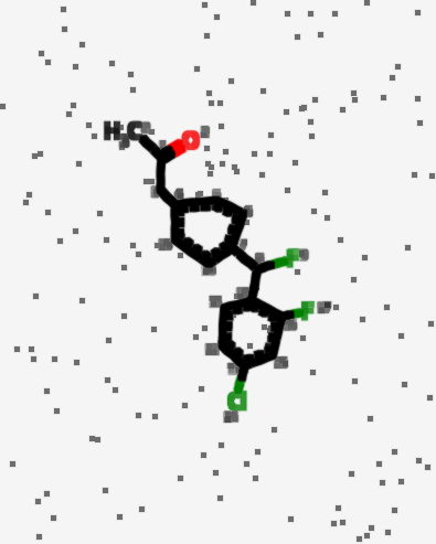 CC(=O)Cc1ccc(C(F)c2ccc(Cl)cc2F)cc1